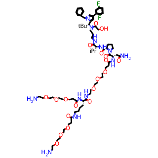 CC(C)[C@H](NC(=O)[C@@H]1CCCN1C(=O)[C@H](CC(N)=O)NC(=O)CCOCCOCCOCCNC(=O)[C@H](CCCCNC(=O)CCOCCOCCOCCN)NC(=O)CCOCCOCCOCCN)C(=O)NCCCN(C(=O)CO)[C@@H](c1cc(-c2cc(F)ccc2F)cn1Cc1ccccc1)C(C)(C)C